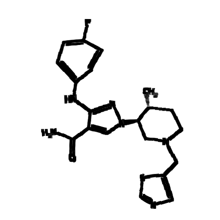 C[C@@H]1CCN(Cc2cncs2)C[C@H]1n1cc(C(N)=O)c(Nc2ccc(F)cc2)n1